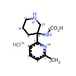 Cc1cccc(C2(NC(=O)O)CCCNC2)n1.Cl